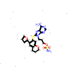 Nc1ncnc2c1nc(Sc1cc3c(cc1-c1ccco1)CCCO3)n2CCCOS(N)(=O)=O